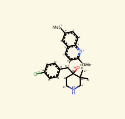 COc1nc2ccc(SC)cc2cc1[C@@H](c1ccc(Cl)cc1)C1(O)CCNCC1(C)C